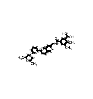 Cc1cc(C(=O)NCc2cc3nc(-c4cccc(N5C[C@@H](C)O[C@@H](C)C5)n4)ccc3cn2)cc(B(O)O)c1C